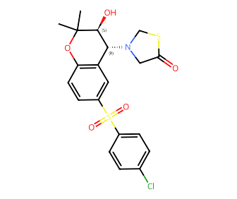 CC1(C)Oc2ccc(S(=O)(=O)c3ccc(Cl)cc3)cc2[C@@H](N2CSC(=O)C2)[C@@H]1O